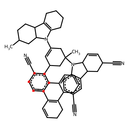 CC1CCC2C3=C(CCCC3)N(C3=CC(C4CCC=CC4C4=CC=CCC4C4=C(c5ccc(C#N)cc5)C=CCC4)CC(C)(N4c5ccc(C#N)cc5C5CC(C#N)C=CC54)C3)C2C1